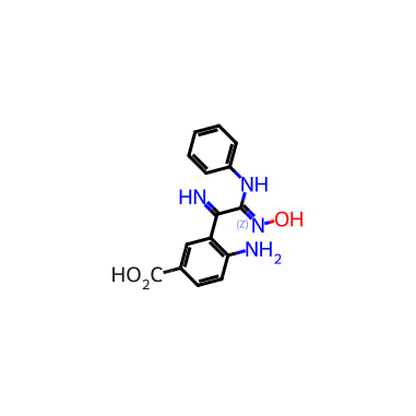 N=C(/C(=N/O)Nc1ccccc1)c1cc(C(=O)O)ccc1N